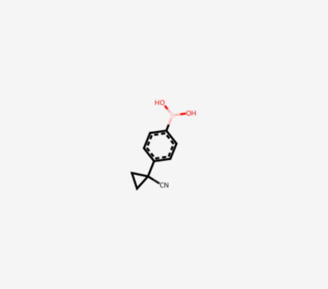 N#CC1(c2ccc(B(O)O)cc2)CC1